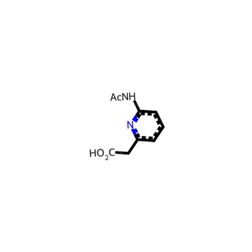 CC(=O)Nc1cccc(CC(=O)O)n1